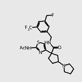 CC(=O)Nc1nc(C2(C(=O)NCc3cc(CF)cc(C(F)(F)F)c3)CCC(N3CCCC3)C2)cs1